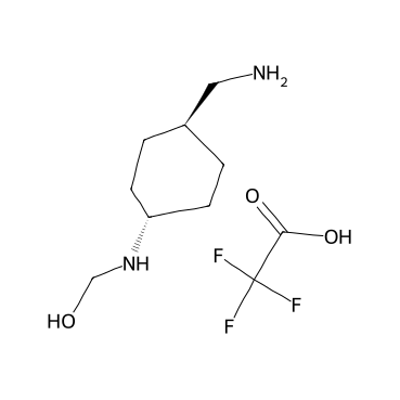 NC[C@H]1CC[C@H](NCO)CC1.O=C(O)C(F)(F)F